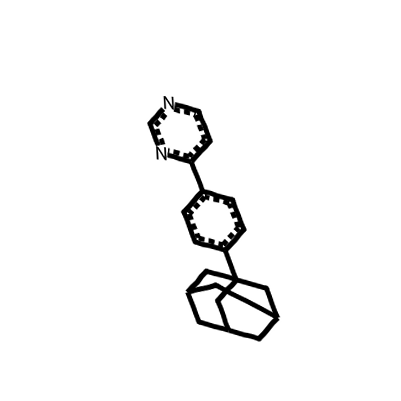 c1cc(-c2ccc(C34CC5CC(CC(C5)C3)C4)cc2)ncn1